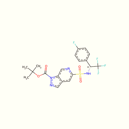 CC(C)(C)OC(=O)n1ncc2cc(S(=O)(=O)N[C@H](c3ccc(F)cc3)C(F)(F)F)ncc21